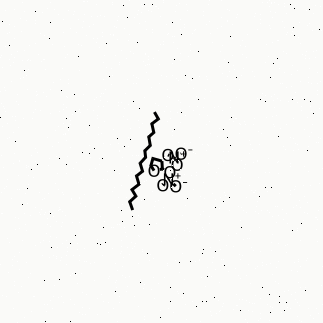 CCCCCCCCCCCCCCCC.O=[N+]([O-])OC1CCOC1O[N+](=O)[O-]